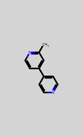 Cc1cc(-c2ccncc2)ccn1